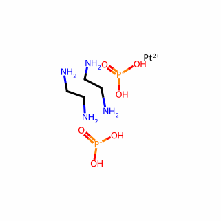 NCCN.NCCN.O=[P-](O)O.O=[P-](O)O.[Pt+2]